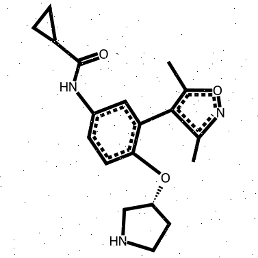 Cc1noc(C)c1-c1cc(NC(=O)C2CC2)ccc1O[C@@H]1CCNC1